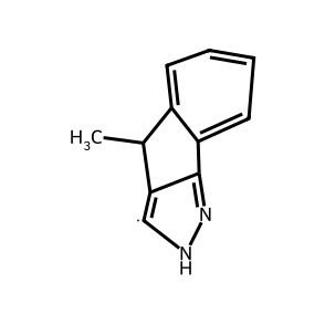 CC1c2[c][nH]nc2-c2ccccc21